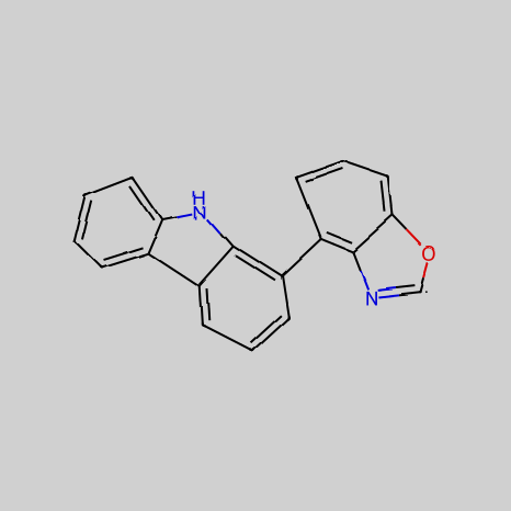 [c]1nc2c(-c3cccc4c3[nH]c3ccccc34)cccc2o1